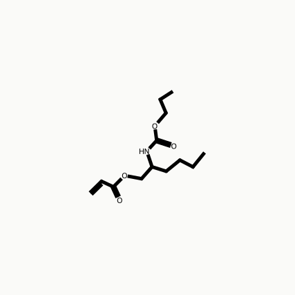 C=CC(=O)OCC(CCCC)NC(=O)OCCC